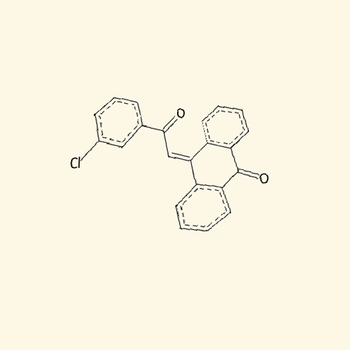 O=C(C=C1c2ccccc2C(=O)c2ccccc21)c1cccc(Cl)c1